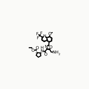 CCOC(=O)[C@H]1CCC[C@H]1NC(=O)c1nc(-c2ccc(OC)c3nc(C(F)(F)F)ccc23)oc1CN